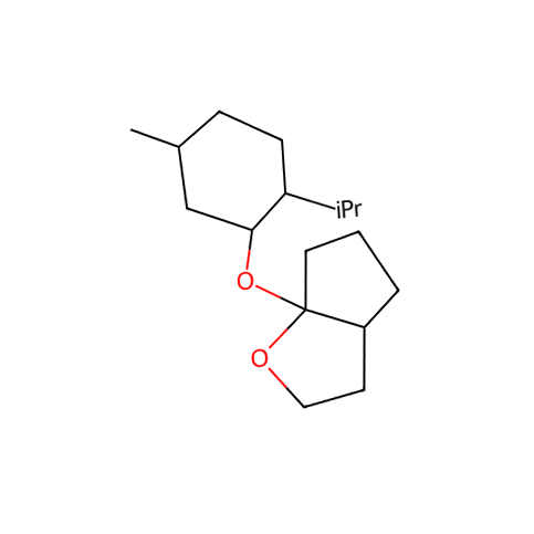 CC1CCC(C(C)C)C(OC23CCCC2CCO3)C1